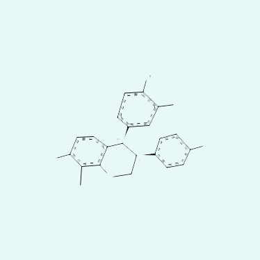 Cc1cc([C@@H]2c3ccc(O)c(C)c3OC[C@@H]2c2ccc(O)cc2)ccc1O